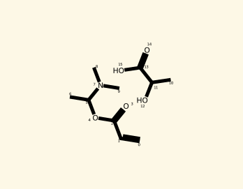 C=CC(=O)OC(C)N(C)C.CC(O)C(=O)O